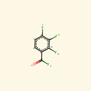 O=C(F)c1ccc(F)c(F)c1F